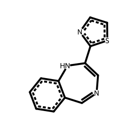 C1=NC=C(c2nccs2)Nc2ccccc21